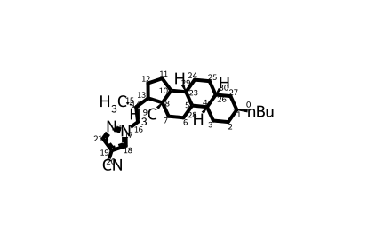 CCCC[C@H]1CC[C@@H]2C3CC[C@@]4(C)C(CCC4[C@@H](C)Cn4cc(C#N)cn4)[C@@H]3CC[C@@H]2C1